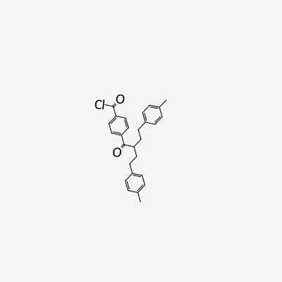 Cc1ccc(CCC(CCc2ccc(C)cc2)C(=O)c2ccc(C(=O)Cl)cc2)cc1